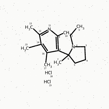 CCN1CCCC1(C)c1c(C)nc(C)c(C)c1C.Cl.Cl